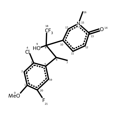 COc1cc(Cl)c(C(C)C(O)(c2ccc(=O)n(C)c2)C(F)(F)F)cc1F